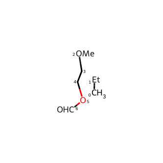 CCC.COCCOC=O